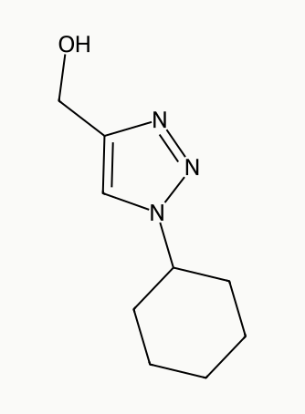 OCc1cn(C2CCCCC2)nn1